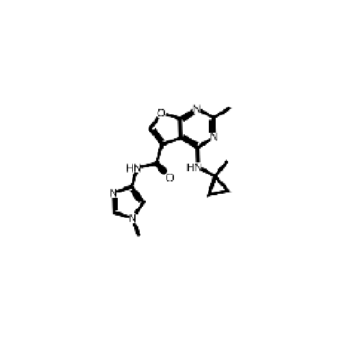 Cc1nc(NC2(C)CC2)c2c(C(=O)Nc3cn(C)cn3)coc2n1